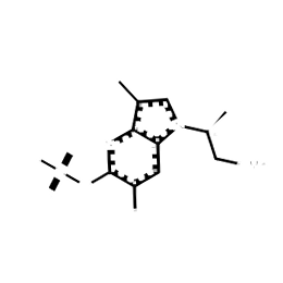 COC[C@H](C)n1cc(C)c2nc(OS(=O)(=O)C(F)(F)F)c(Cl)cc21